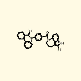 O=C(Nc1ccc(C(=O)N2CCCc3c(Cl)[nH]c4cccc2c34)cc1)c1ccccc1-c1ccccc1